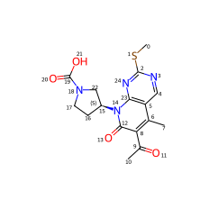 CSc1ncc2c(C)c(C(C)=O)c(=O)n([C@H]3CCN(C(=O)O)C3)c2n1